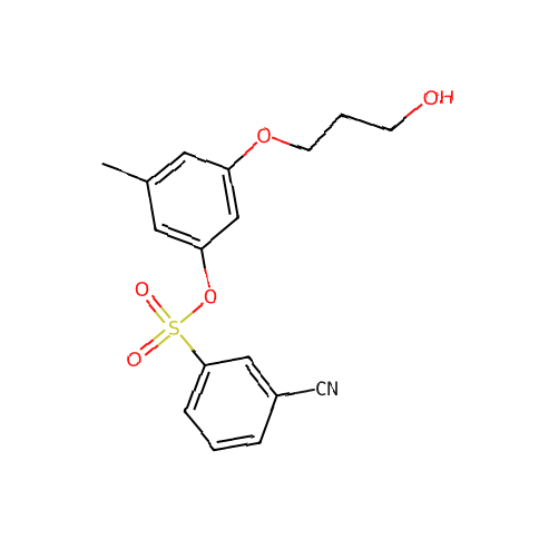 Cc1cc(OCCCO)cc(OS(=O)(=O)c2cccc(C#N)c2)c1